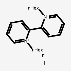 CCCCCC[n+]1ccccc1-c1cccc[n+]1CCCCCC.[I-].[I-]